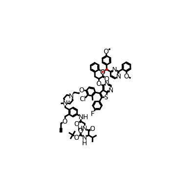 C#CCOCc1cc(NC(=O)CNC(=O)C(NC(=O)OC(C)(C)C)C(C)C)ccc1C[N+]1(C)CCN(CCOc2ccc(-c3c(-c4ccc(F)cc4)sc4ncnc(OC(Cc5ccccc5OCc5ccnc(-c6ccccc6OC)n5)C(=O)OCc5ccc(OC)cc5)c34)c(C)c2Cl)CC1